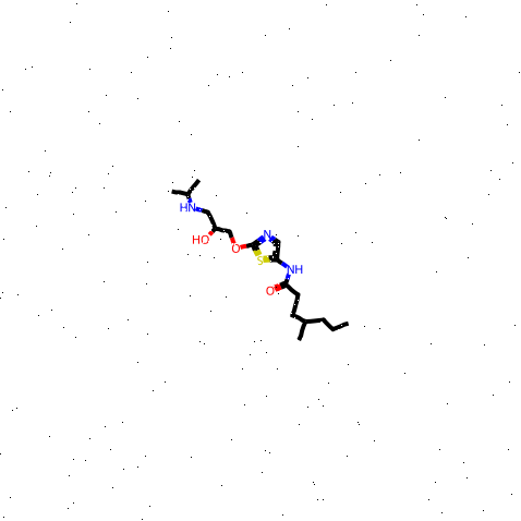 CCCC(C)CCC(=O)Nc1cnc(OCC(O)CNC(C)C)s1